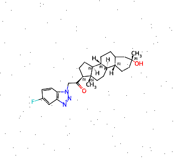 C[C@@]1(O)CC[C@H]2C(CC[C@@H]3[C@@H]2CC[C@]2(C)[C@@H](C(=O)Cn4nnc5cc(F)ccc54)CC[C@@H]32)C1